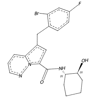 O=C(N[C@H]1CCCC[C@@H]1O)c1cc(Cc2ccc(F)cc2Br)c2cccnn12